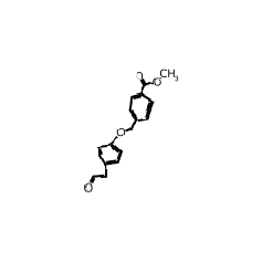 COC(=O)c1ccc(COc2ccc(CC=O)cc2)cc1